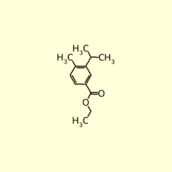 CCOC(=O)c1ccc(C)c(C(C)C)c1